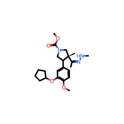 CNN=C(C)[C@@]1(C)CN(C(=O)OC)CC1c1ccc(OC)c(OC2CCCC2)c1